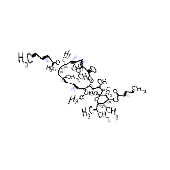 C=C/C=C/C(=O)O[C@@H]1[C@H](C)/C=C(C)/C=C(\OC)C(=O)O[C@H]([C@@H](C)[C@@H](O)[C@H](C)C2(O)C[C@@H](OC(=O)/C=C/C=C)[C@H](C)[C@@H](C(C)C)O2)[C@@H](OC)/C=C/C=C(\C)C[C@@H]1C